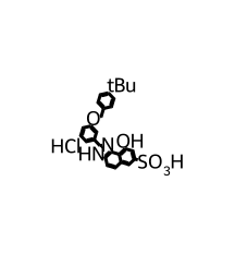 CC(C)(C)c1ccc(COc2cccc(-c3nc4c(ccc5cc(S(=O)(=O)O)cc(O)c54)[nH]3)c2)cc1.Cl